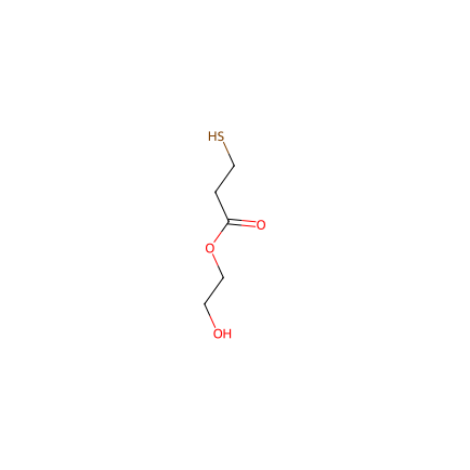 O=C(CCS)OCCO